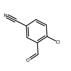 N#Cc1ccc(Cl)c(C=O)c1